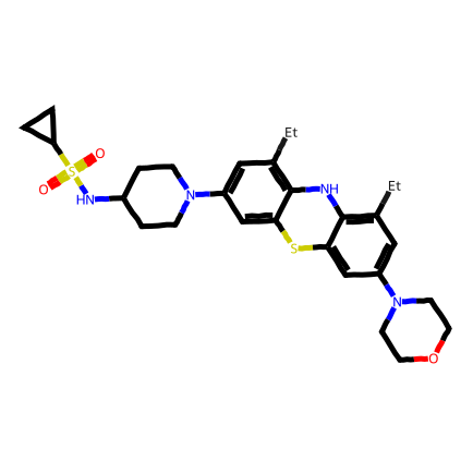 CCc1cc(N2CCOCC2)cc2c1Nc1c(CC)cc(N3CCC(NS(=O)(=O)C4CC4)CC3)cc1S2